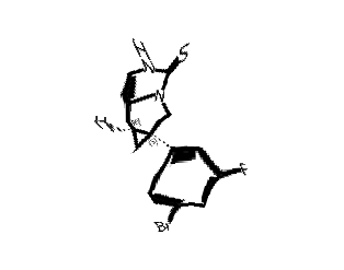 Fc1cc(Br)cc([C@]23C[C@H]2c2c[nH]c(=S)n2C3)c1